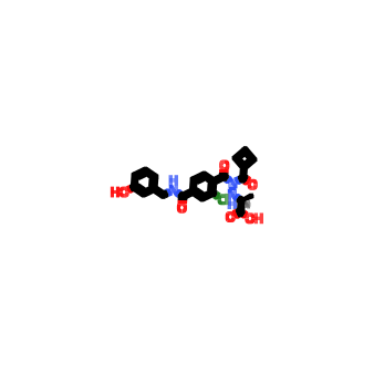 C[C@H](NN(C(=O)c1ccc(C(=O)NCc2cccc(O)c2)cc1Cl)C(=O)C1CCC1)C(=O)O